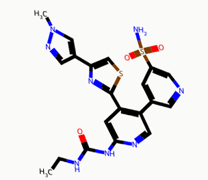 CCNC(=O)Nc1cc(-c2nc(-c3cnn(C)c3)cs2)c(-c2cncc(S(N)(=O)=O)c2)cn1